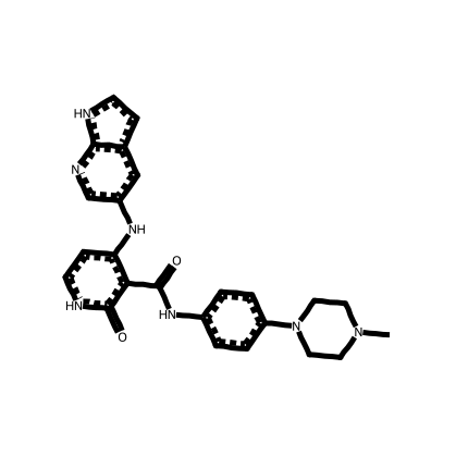 CN1CCN(c2ccc(NC(=O)c3c(Nc4cnc5[nH]ccc5c4)cc[nH]c3=O)cc2)CC1